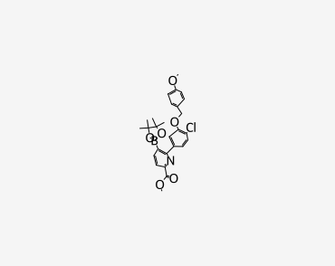 COC(=O)c1ccc(B2OC(C)(C)C(C)(C)O2)c(-c2ccc(Cl)c(OCc3ccc(OC)cc3)c2)n1